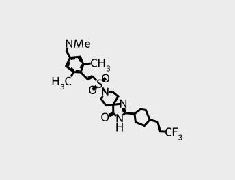 CNCc1cc(C)c(C=CS(=O)(=O)N2CCC3(CC2)N=C(C2CCC(CCC(F)(F)F)CC2)NC3=O)c(C)c1